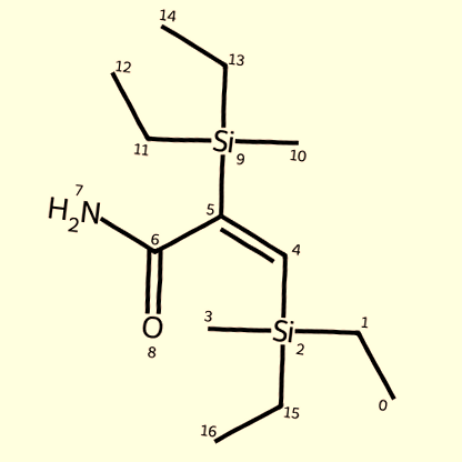 CC[Si](C)(C=C(C(N)=O)[Si](C)(CC)CC)CC